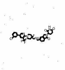 O=C1CCC(N2Cc3cc(CNCC4(F)CCN(c5ncc(-c6cccc(Cl)c6)cc5C(F)(F)F)CC4)ccc3C2=O)C(=O)N1